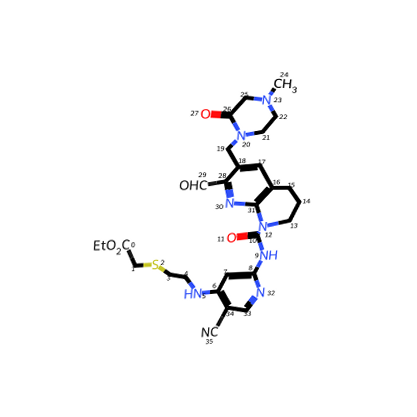 CCOC(=O)CSCCNc1cc(NC(=O)N2CCCc3cc(CN4CCN(C)CC4=O)c(C=O)nc32)ncc1C#N